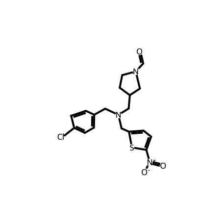 O=CN1CCC(CN(Cc2ccc(Cl)cc2)Cc2ccc([N+](=O)[O-])s2)C1